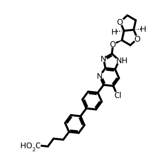 O=C(O)CCCc1ccc(-c2ccc(-c3nc4nc(O[C@@H]5CO[C@@H]6CCO[C@@H]65)[nH]c4cc3Cl)cc2)cc1